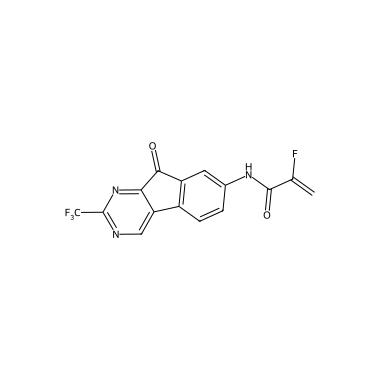 C=C(F)C(=O)Nc1ccc2c(c1)C(=O)c1nc(C(F)(F)F)ncc1-2